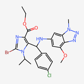 CCOC(=O)c1nc(Br)n(C(C)C)c1C(Nc1cc(OC)c2nnn(C)c2c1)c1ccc(Cl)cc1